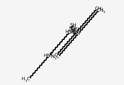 CCCCCCCCCCCCCCCCCCNCCCCCCCCCCCCCCCCCC.CCCCCCCCCCCCCCCCCCNCCCCCCCCCCCCCCCCCC.CCCCCCCCCCCCCCCCCCNCCCCCCCCCCCCCCCCCC.Sc1nc(S)nc(S)n1